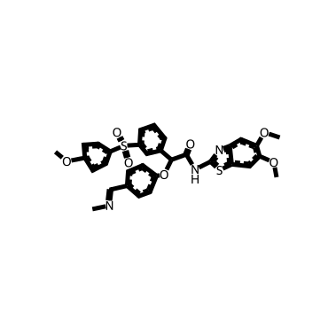 C/N=C/c1ccc(OC(C(=O)Nc2nc3cc(OC)c(OC)cc3s2)c2cccc(S(=O)(=O)c3ccc(OC)cc3)c2)cc1